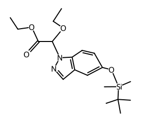 CCOC(=O)C(OCC)n1ncc2cc(O[Si](C)(C)C(C)(C)C)ccc21